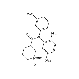 COc1cccc(N(C(=O)C2CCCS(=O)(=O)C2)c2cc(OC)ccc2N)c1